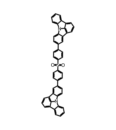 O=S(=O)(c1ccc(-c2ccc3c(c2)c2cccc4c5ccccc5n3c42)cc1)c1ccc(-c2ccc3c(c2)c2cccc4c5ccccc5n3c42)cc1